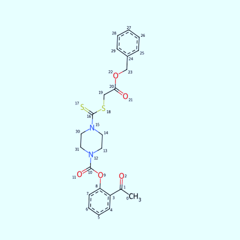 CC(=O)c1ccccc1OC(=O)N1CCN(C(=S)SCC(=O)OCc2ccccc2)CC1